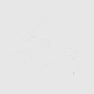 Cn1c(=O)n(C2CCC(=O)NC2=O)c2ccc(CCCc3cccc(OC[C@H](CCC(N)=O)NC(=O)[C@@H]4CC[C@@H]5CCCC[C@H](NC(=O)c6cc7cc(C(=O)P(=O)(O)O)ccc7[nH]6)C(=O)N54)c3Cl)cc21